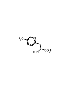 N[C@@H](Cc1ccc(C(F)(F)F)cn1)C(=O)O